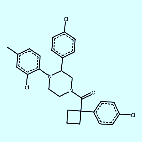 Cc1ccc(N2CCN(C(=O)C3(c4ccc(Cl)cc4)CCC3)CC2c2ccc(Cl)cc2)c(Cl)c1